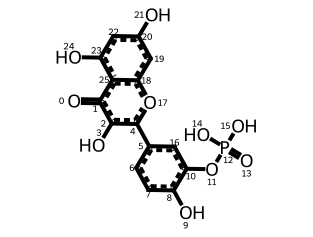 O=c1c(O)c(-c2ccc(O)c(OP(=O)(O)O)c2)oc2cc(O)cc(O)c12